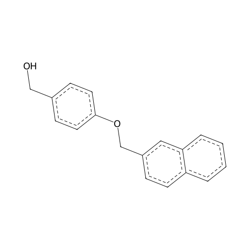 OCc1ccc(OCc2ccc3ccccc3c2)cc1